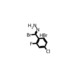 Br.NN=C(Br)c1ccc(Cl)cc1F